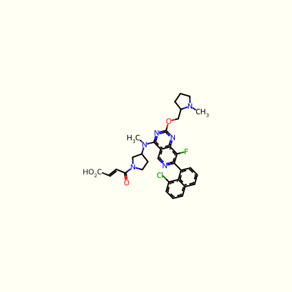 CN1CCCC1COc1nc(N(C)C2CCN(C(=O)/C=C/C(=O)O)C2)c2cnc(-c3cccc4cccc(Cl)c34)c(F)c2n1